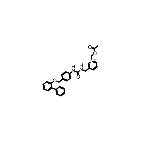 CC(=O)OC[n+]1cccc(CNC(=O)Nc2ccc(COc3ccccc3-c3ccccc3)cc2)c1